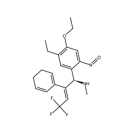 CCOc1cc(N=O)c([C@@H](NC)/C(=C/C(F)(F)F)C2=CCCC=C2)cc1CC